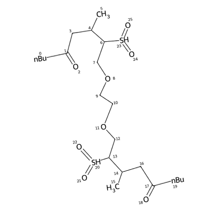 CCCCC(=O)CC(C)C(COCCOCC(C(C)CC(=O)CCCC)[SH](=O)=O)[SH](=O)=O